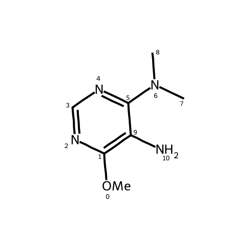 COc1ncnc(N(C)C)c1N